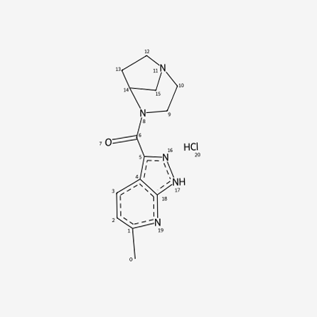 Cc1ccc2c(C(=O)N3CCN4CCC3C4)n[nH]c2n1.Cl